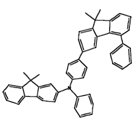 CC1(C)c2ccccc2-c2ccc(N(c3ccccc3)c3ccc(-c4ccc5c(c4)-c4c(-c6ccccc6)cccc4C5(C)C)cc3)cc21